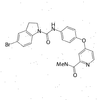 CNC(=O)c1cc(Oc2ccc(NC(=O)N3CCc4cc(Br)ccc43)cc2)ccn1